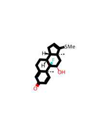 CSC1=CC[C@H]2[C@@H]3CCC4=CC(=O)C=C[C@]4(C)C3(F)[C@@H](O)C[C@]12C